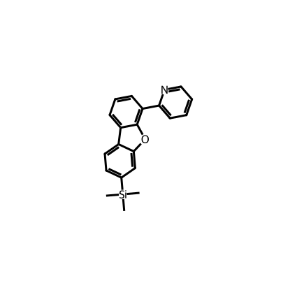 C[Si](C)(C)c1ccc2c(c1)oc1c(-c3ccccn3)cccc12